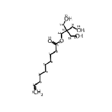 C=CCCCCCCCC(=O)OCC(CO)(CO)CO